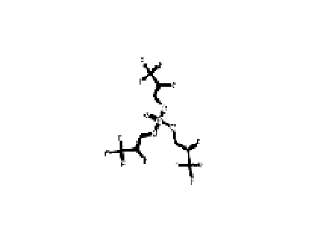 O=P(OCC(F)C(F)(F)F)(OCC(F)C(F)(F)F)OCC(F)C(F)(F)F